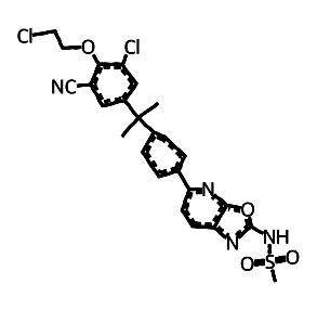 CC(C)(c1ccc(-c2ccc3nc(NS(C)(=O)=O)oc3n2)cc1)c1cc(Cl)c(OCCCl)c(C#N)c1